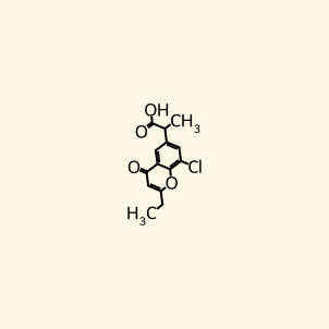 CCc1cc(=O)c2cc(C(C)C(=O)O)cc(Cl)c2o1